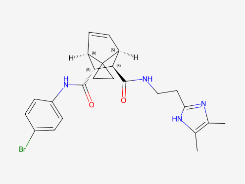 Cc1nc(CCNC(=O)[C@H]2[C@H](C(=O)Nc3ccc(Br)cc3)[C@H]3C=C[C@@H]2C32CC2)[nH]c1C